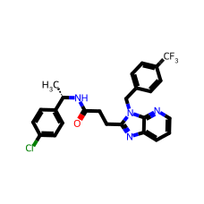 C[C@H](NC(=O)CCc1nc2cccnc2n1Cc1ccc(C(F)(F)F)cc1)c1ccc(Cl)cc1